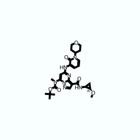 CO[C@@H]1CC1NC(=O)c1cnn2c(N(C)C(=O)OC(C)(C)C)cc(Nc3cccn(C4CCOCC4)c3=O)nc12